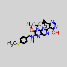 CSc1ccc(CNc2nc3cnc(-c4c(O)ncnc4C4CC4)nc3n(C(C)C)c2=O)cc1